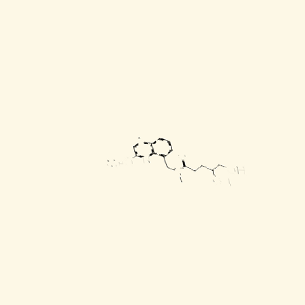 COc1cnc2cccc(CN(C)C(=O)CCC(O)CO)c2n1